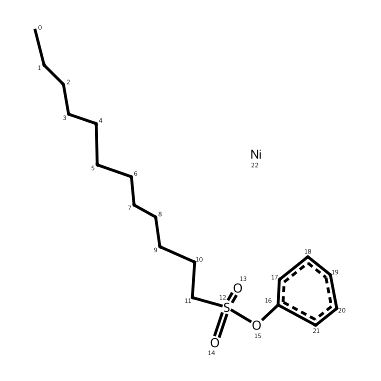 CCCCCCCCCCCCS(=O)(=O)Oc1ccccc1.[Ni]